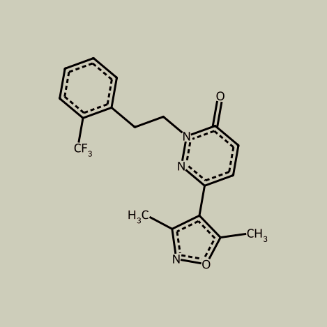 Cc1noc(C)c1-c1ccc(=O)n(CCc2ccccc2C(F)(F)F)n1